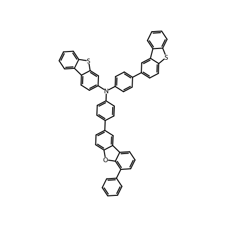 c1ccc(-c2cccc3c2oc2ccc(-c4ccc(N(c5ccc(-c6ccc7sc8ccccc8c7c6)cc5)c5ccc6c(c5)sc5ccccc56)cc4)cc23)cc1